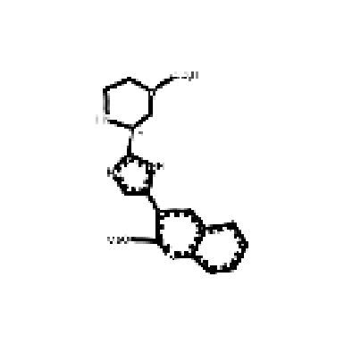 COc1nc2ccccc2cc1-c1cnc([C@@H]2CN(C(=O)O)CCN2)[nH]1